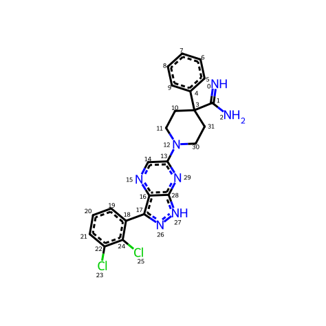 N=C(N)C1(c2ccccc2)CCN(c2cnc3c(-c4cccc(Cl)c4Cl)n[nH]c3n2)CC1